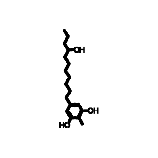 CCCC(O)CCCCCCCc1cc(O)c(C)c(O)c1